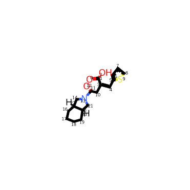 O=C(O)C(=Cc1cccs1)CC(=O)N1C[C@H]2CCCC[C@H]2C1